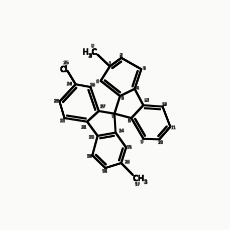 Cc1ccc2c(c1)C1(c3ccccc3-2)c2cc(C)ccc2-c2ccc(Cl)cc21